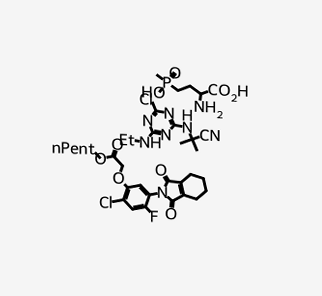 CCCCCOC(=O)COc1cc(N2C(=O)C3=C(CCCC3)C2=O)c(F)cc1Cl.CCNc1nc(Cl)nc(NC(C)(C)C#N)n1.CP(=O)(O)CCC(N)C(=O)O